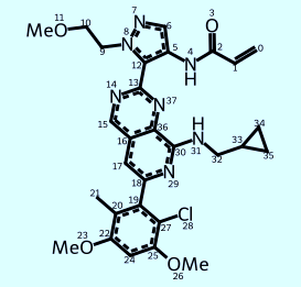 C=CC(=O)Nc1cnn(CCOC)c1-c1ncc2cc(-c3c(C)c(OC)cc(OC)c3Cl)nc(NCC3CC3)c2n1